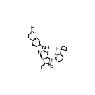 CCn1c(=O)c2cnc(Nc3ccc4c(c3)CNCC4)nc2n1-c1cccc(C2(F)CCC2)n1